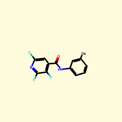 N#Cc1cccc(NC(=O)c2cc(F)nc(F)c2F)c1